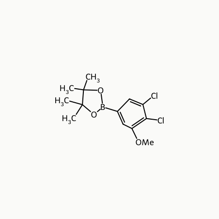 COc1cc(B2OC(C)(C)C(C)(C)O2)cc(Cl)c1Cl